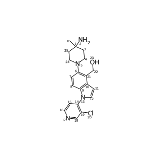 CC1(N)CCN(c2ccc3c(ccn3-c3ccncc3Cl)c2CO)CC1